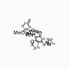 COc1ccc(F)cc1S(=O)(=O)Nc1noc2cc(Cn3cccn3)c3c(c12)OCCC3